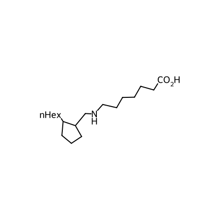 CCCCCCC1CCCC1CNCCCCCCC(=O)O